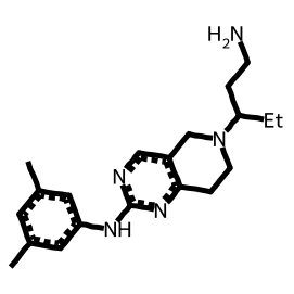 CCC(CCN)N1CCc2nc(Nc3cc(C)cc(C)c3)ncc2C1